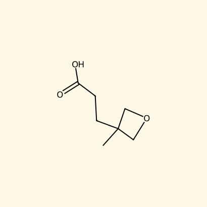 CC1(CCC(=O)O)COC1